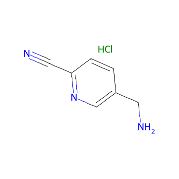 Cl.N#Cc1ccc(CN)cn1